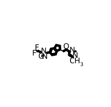 Cc1cc(C(=O)C[C@@H]2CCc3cc(-c4noc(C(F)F)n4)ccc32)ncn1